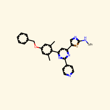 CCCNc1ncc(-c2cc(-c3c(C)cc(OCc4ccccc4)cc3C)nc(-c3ccncc3)n2)s1